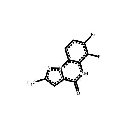 Cc1cc2c(=O)[nH]c3c(F)c(Br)ccc3n2n1